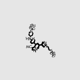 CC(C)(C)OC(=O)N1CCC(Nc2ccc(-c3cc(-c4cnn(CCSOOCl)c4)cn4ncc(C#N)c34)cn2)CC1